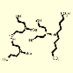 CCCCN(CCO)CCO.CCCCN(CCO)CCO.CCCCN(CCO)CCO.O=C(O)CCCCCCCCC(=O)O